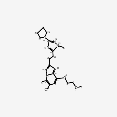 COCCOc1cc(Cl)c(C)n2nc(CCc3nc(N4CCCC4)nn3C)nc12